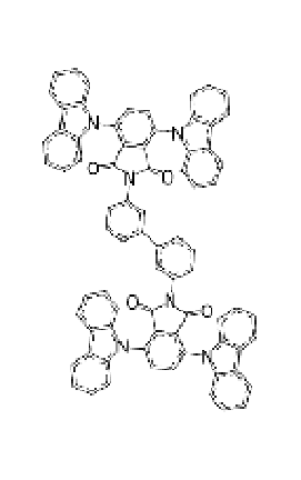 O=C1c2c(-n3c4ccccc4c4ccccc43)ccc(-n3c4ccccc4c4ccccc43)c2C(=O)N1c1cccc(-c2cccc(N3C(=O)c4c(-n5c6ccccc6c6ccccc65)ccc(-n5c6ccccc6c6ccccc65)c4C3=O)c2)c1